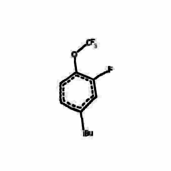 CCC(C)c1ccc(OC(F)(F)F)c(F)c1